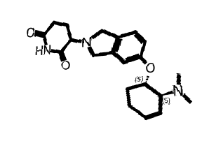 CN(C)[C@H]1CCCC[C@@H]1Oc1ccc2c(c1)CN(C1CCC(=O)NC1=O)C2